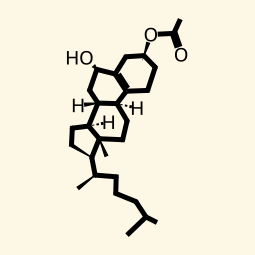 CC(=O)O[C@H]1CCC2=C(C1)[C@H](O)C[C@@H]1[C@@H]2CC[C@]2(C)[C@@H]([C@H](C)CCCC(C)C)CC[C@@H]12